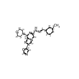 Cc1cccc(/C=N/Nc2cn3cc(-c4cnco4)nc3c(N3CCOCC3)n2)c1